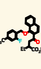 CCC(CC(=O)c1ccc2ccccc2c1OCc1ccc(C(F)(F)F)cc1F)C(=O)O